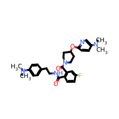 CN(C)c1ccc(CCNC(=O)c2ccc(F)cc2C(=O)N2CCC(Oc3ccc(N(C)C)cn3)CC2)cc1